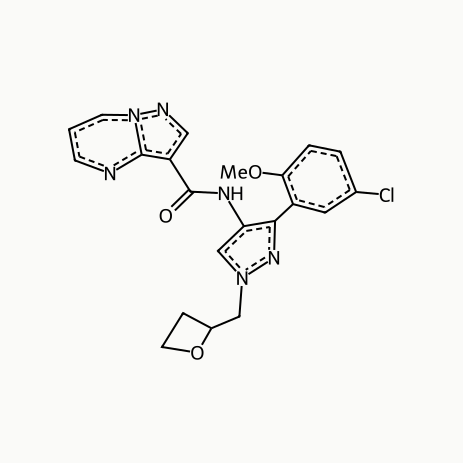 COc1ccc(Cl)cc1-c1nn(CC2CCO2)cc1NC(=O)c1cnn2cccnc12